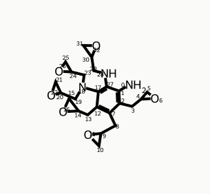 Nc1c(CC2CO2)c(CC2CO2)c(CC2CO2)c(N(CC2CO2)CC2CO2)c1NCC1CO1